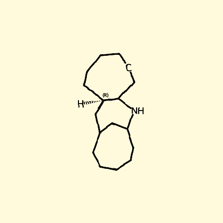 C1CCC2CC(CC1)NC1CCCCCC[C@@H]1C2